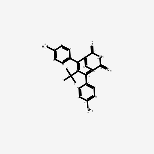 CC(C)(C)c1c(-c2ccc(N)cc2)c2cc(c1-c1ccc(N)cc1)C(=O)NC2=O